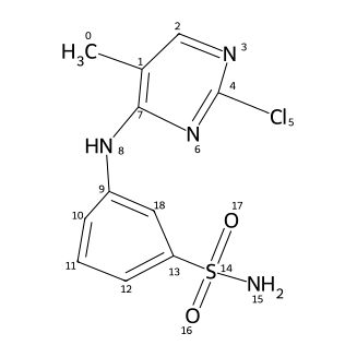 Cc1cnc(Cl)nc1Nc1cccc(S(N)(=O)=O)c1